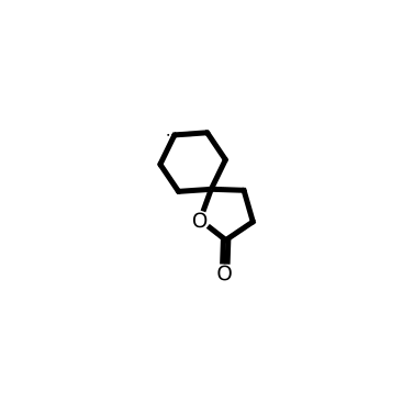 O=C1CCC2(CC[CH]CC2)O1